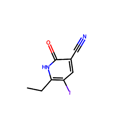 CCc1[nH]c(=O)c(C#N)cc1I